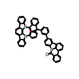 O=c1c2ccccc2c2cccc3c4cc(-c5cccc(-c6ccc(-n7c8ccccc8c8ccc9c%10ccccc%10n(-c%10ccccc%10)c9c87)c7ccccc67)c5)ccc4n1c23